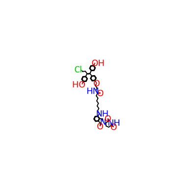 O=C(CCCCCCCNc1cccc2c1CN(C1CCC(=O)NC1=O)C2=O)NCCOc1ccc(C(=C(CCCl)c2ccc(O)cc2)c2ccc(O)cc2)cc1